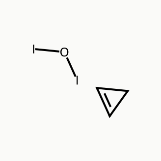 C1=CC1.IOI